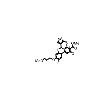 COCCCOc1cc2c(cc1Cl)-c1cc(=O)c(C(=O)OC)cn1C(c1cnsc1C)O2